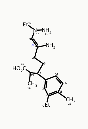 CCc1cc(C(CC/C(N)=C/N(N)CC)C(C)C(=O)O)ccc1C